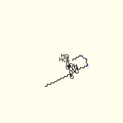 CCCCC/C=C\C/C=C\C/C=C\CCCCC(=O)O[C@H](COC(=O)CCCCCCCCCCCCCCC)COP(=O)(O)OC[C@@H](O)CO